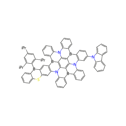 CC(C)c1cc(C(C)C)c(B2c3ccccc3Sc3cc4c(cc32)B2c3ccccc3N3c5ccccc5B5c6ccc(-n7c8ccccc8c8ccccc87)cc6N6c7ccccc7B7c8ccccc8N4c4c2c3c5c6c47)c(C(C)C)c1